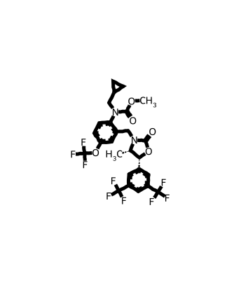 COC(=O)N(CC1CC1)c1ccc(OC(F)(F)F)cc1CN1C(=O)O[C@H](c2cc(C(F)(F)F)cc(C(F)(F)F)c2)[C@@H]1C